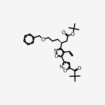 C=Cc1c([C@@H](CCCOCc2ccccc2)CC(=O)OC(C)(C)C)noc1-c1cc(C(=O)C(C)(C)C)on1